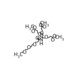 CCOCCOCCOCCC(=O)NC(COCCC(=O)OC)(COCCC(=O)OC)COCCC(=O)OC